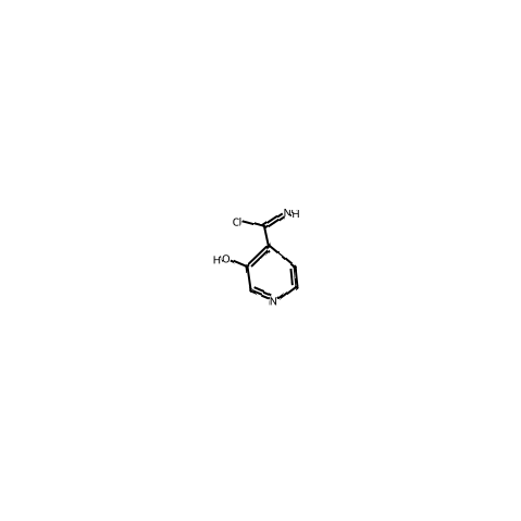 N=C(Cl)c1ccncc1O